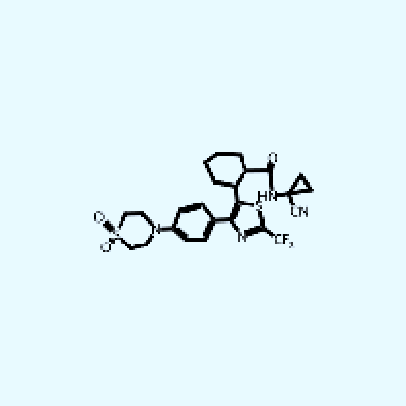 N#CC1(NC(=O)C2CCCCC2c2sc(C(F)(F)F)nc2-c2ccc(N3CCS(=O)(=O)CC3)cc2)CC1